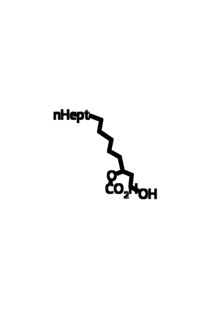 CCCCCCCCCCCCC(CCO)OC(=O)O